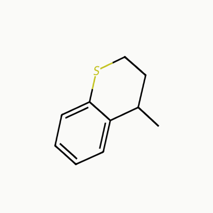 CC1CCSc2ccccc21